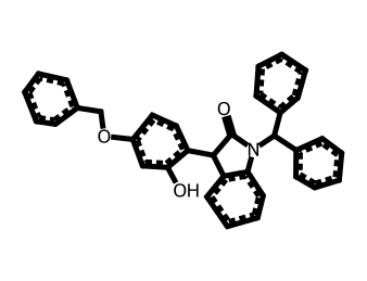 O=C1C(c2ccc(OCc3ccccc3)cc2O)c2ccccc2N1C(c1ccccc1)c1ccccc1